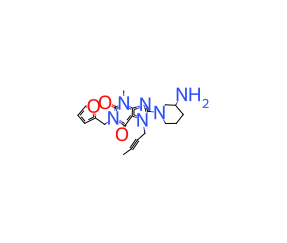 CC#CCn1c(N2CCCC(N)C2)nc2c1c(=O)n(Cc1ccco1)c(=O)n2C